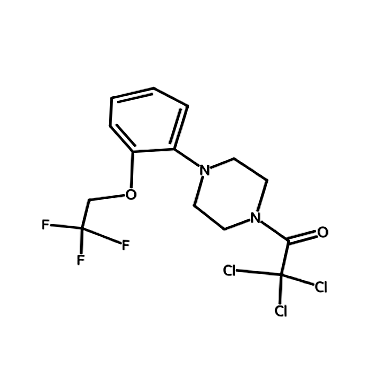 O=C(N1CCN(c2ccccc2OCC(F)(F)F)CC1)C(Cl)(Cl)Cl